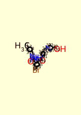 Cc1ccc(/C=N/NC(=O)c2cc(Br)ccc2NC(=O)c2ccc(CN3CCC(CO)CC3)cc2)cc1